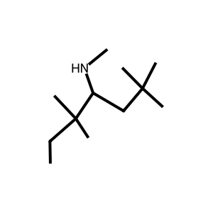 CCC(C)(C)C(CC(C)(C)C)NC